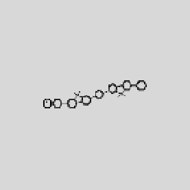 COc1ccc(-c2ccc3c(c2)C(C)(C)c2cc(-c4ccc(-c5ccc6c(c5)C(C)(C)c5cc(-c7ccccc7)ccc5-6)cc4)ccc2-3)cc1